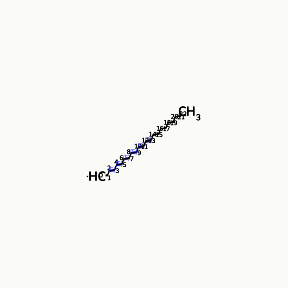 [CH]=C/C=C/C=C/C=C/C=C/C=C/C=C/CCCCCCCCC